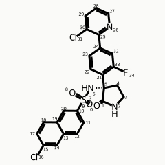 O=C1NCC[C@]1(NS(=O)(=O)c1ccc2cc(Cl)ccc2c1)c1ccc(-c2ncccc2Cl)cc1F